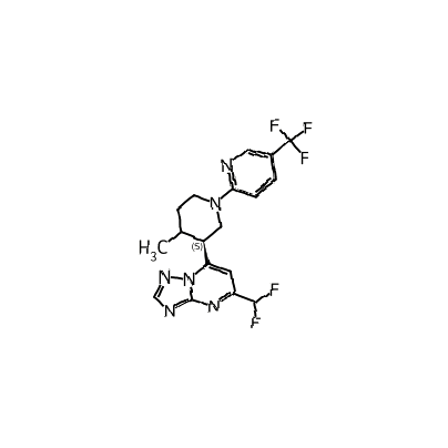 CC1CCN(c2ccc(C(F)(F)F)cn2)C[C@H]1c1cc(C(F)F)nc2ncnn12